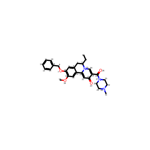 CCC1Cc2cc(OCc3ccccc3)c(OC)cc2-c2cc(=O)c(C(=O)N3CCN(C)CC3)cn21